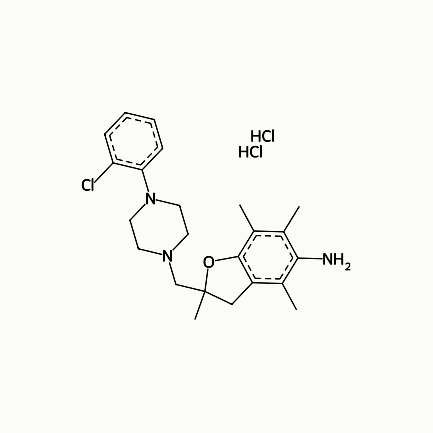 Cc1c(C)c2c(c(C)c1N)CC(C)(CN1CCN(c3ccccc3Cl)CC1)O2.Cl.Cl